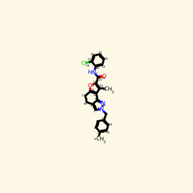 Cc1ccc(Cn2cc3c(n2)-c2c(oc(C(=O)Nc4ccccc4Cl)c2C)CC3)cc1